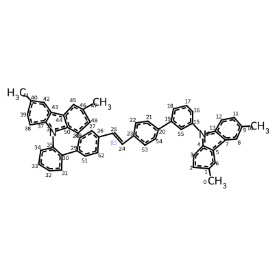 Cc1ccc2c(c1)c1cc(C)ccc1n2-c1cccc(-c2ccc(/C=C/c3ccc(-c4ccccc4-n4c5ccc(C)cc5c5cc(C)ccc54)cc3)cc2)c1